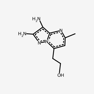 Cc1cc(CCO)n2nc(N)c(N)c2n1